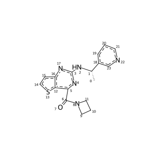 C[C@H](Nc1nc(C(=O)N2CCC2)c2sccc2n1)c1cccnc1